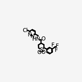 O=C(NCc1ccc(Cl)nn1)C1CCS(=O)(=O)C(c2cccc(C(F)(F)F)c2)C1